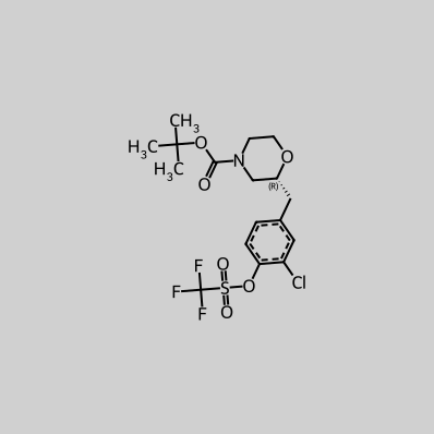 CC(C)(C)OC(=O)N1CCO[C@H](Cc2ccc(OS(=O)(=O)C(F)(F)F)c(Cl)c2)C1